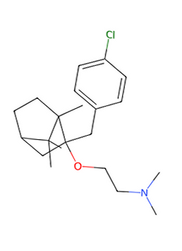 CN(C)CCOC1(Cc2ccc(Cl)cc2)CC2CCC1(C)C2(C)C